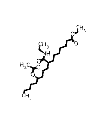 CCCCCC(CCCC(CCCCCCC(=O)OCC)C(=O)NCC)OC(C)=O